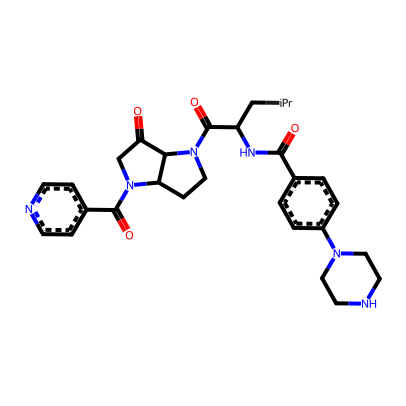 CC(C)CC(NC(=O)c1ccc(N2CCNCC2)cc1)C(=O)N1CCC2C1C(=O)CN2C(=O)c1ccncc1